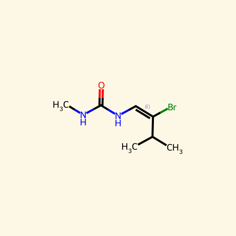 CNC(=O)N/C=C(/Br)C(C)C